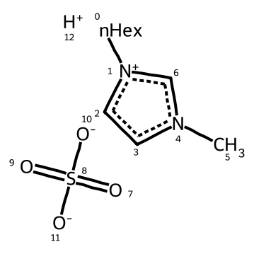 CCCCCC[n+]1ccn(C)c1.O=S(=O)([O-])[O-].[H+]